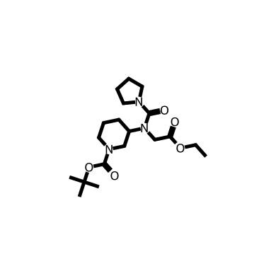 CCOC(=O)CN(C(=O)N1CCCC1)C1CCCN(C(=O)OC(C)(C)C)C1